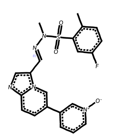 Cc1ccc(F)cc1S(=O)(=O)N(C)/N=C/c1cnc2ccc(-c3ccc[n+]([O-])c3)cn12